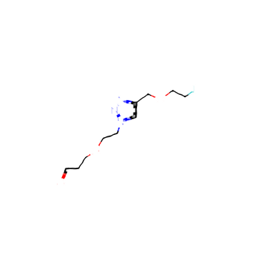 O=CCCOCCn1cc(COCC[18F])nn1